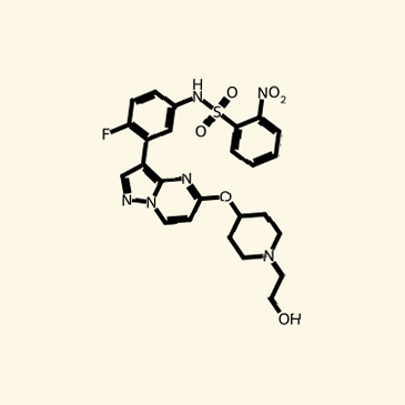 O=[N+]([O-])c1ccccc1S(=O)(=O)Nc1ccc(F)c(-c2cnn3ccc(OC4CCN(CCO)CC4)nc23)c1